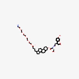 COc1ccc2c(CC(=O)N[C@@H](CC(=O)O)C(=O)O[C@@H]3CC[C@]4(C)C5CC[C@@]6(C)C(CCC6[C@H](C)CCC(=O)OCCOCCOCCOCCOCCN)[C@@H]5CC[C@@H]4C3)cc(=O)oc2c1